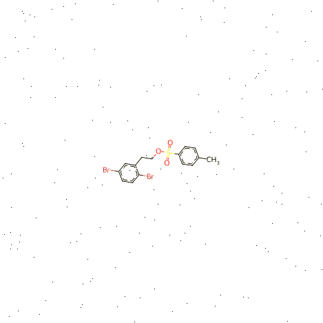 Cc1ccc(S(=O)(=O)OCCc2cc(Br)ccc2Br)cc1